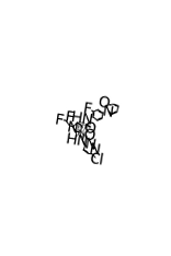 O=C(Nc1ccc(Cl)nn1)[C@H]1CN(CC(F)F)C[C@@H]1C(=O)Nc1ccc(-n2ccccc2=O)cc1F